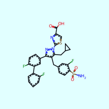 NS(=O)(=O)c1ccc(Cc2c(-c3ccc(F)c(-c4ccccc4F)c3)nn(-c3nc(C(=O)O)cs3)c2CC2CC2)cc1F